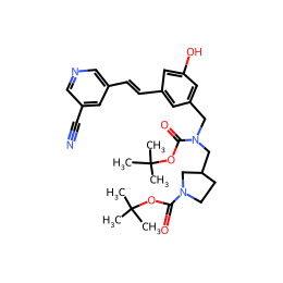 CC(C)(C)OC(=O)N1CCC(CN(Cc2cc(O)cc(C=Cc3cncc(C#N)c3)c2)C(=O)OC(C)(C)C)C1